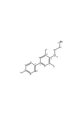 Cc1ccc(-c2cc(C)c(OCCC(C)C)c(C)c2)nc1